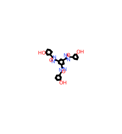 Oc1cccc(-c2nc(-c3cc(-c4noc(-c5cccc(O)c5)n4)cc(-c4noc(-c5cccc(O)c5)n4)c3)no2)c1